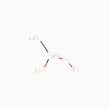 CCC[SiH](O)OCC